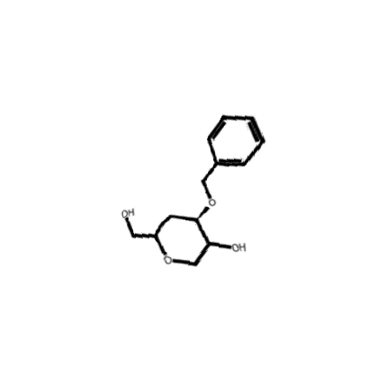 OCC1C[C@@H](OCc2ccccc2)C(O)CO1